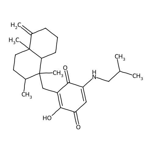 C=C1CCCC2C1(C)CCC(C)C2(C)CC1=C(O)C(=O)C=C(NCC(C)C)C1=O